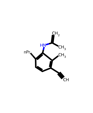 C#Cc1ccc(CCC)c(NC(=C)C)c1C